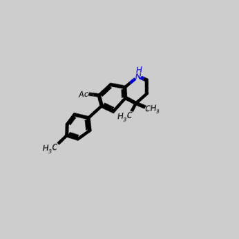 CC(=O)c1cc2c(cc1-c1ccc(C)cc1)C(C)(C)CCN2